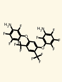 Nc1c(F)c(F)c(F)c(Oc2cc(Oc3c(F)c(N)c(F)c(F)c3F)c(C(F)(F)F)cc2C(F)(F)F)c1F